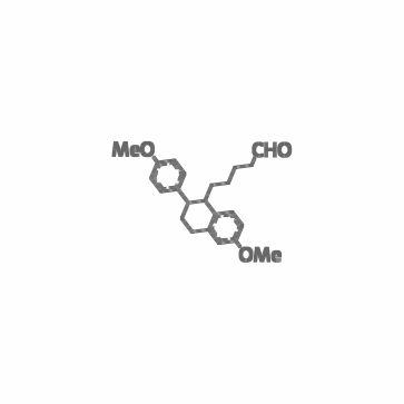 COc1ccc(C2CCc3cc(OC)ccc3C2CCCCC=O)cc1